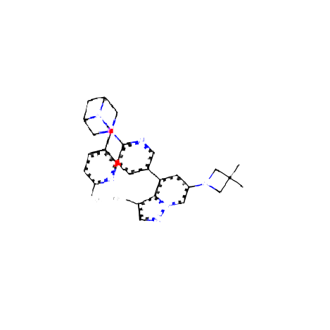 COc1ccc(CN2C3CC2CN(c2ccc(-c4cc(N5CC(C)(C)C5)cn5ncc(C#N)c45)cn2)C3)cn1